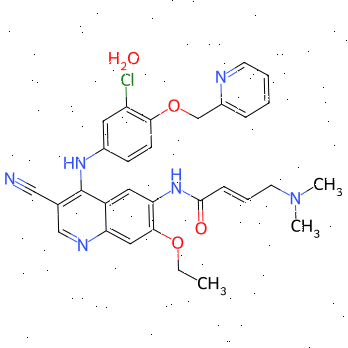 CCOc1cc2ncc(C#N)c(Nc3ccc(OCc4ccccn4)c(Cl)c3)c2cc1NC(=O)C=CCN(C)C.O